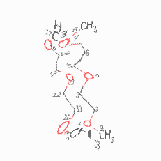 COCCOCCOC.COCCOCCOC